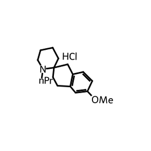 CCCN1CCCCC12CCc1cc(OC)ccc1C2.Cl